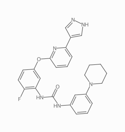 O=C(Nc1cccc(N2CCCCC2)c1)Nc1cc(Oc2cccc(-c3cn[nH]c3)n2)ccc1F